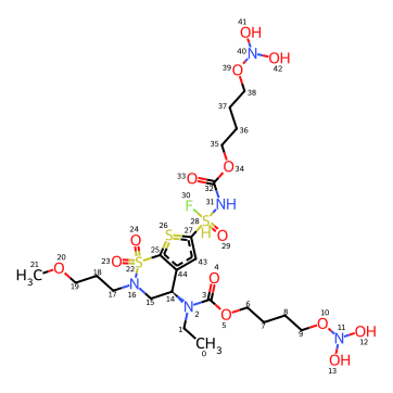 CCN(C(=O)OCCCCON(O)O)[C@H]1CN(CCCOC)S(=O)(=O)c2sc([SH](=O)(F)NC(=O)OCCCCON(O)O)cc21